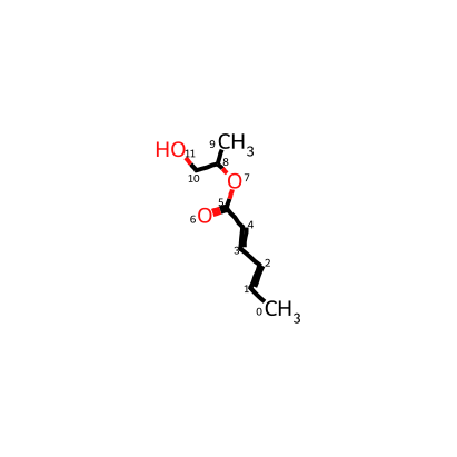 C/C=C/C=C/C(=O)OC(C)CO